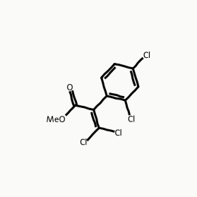 COC(=O)C(=C(Cl)Cl)c1ccc(Cl)cc1Cl